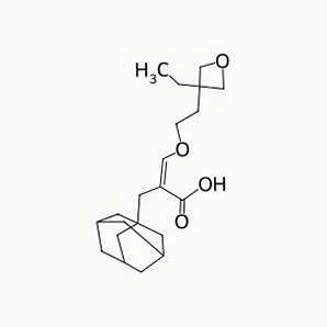 CCC1(CCOC=C(CC23CC4CC(CC(C4)C2)C3)C(=O)O)COC1